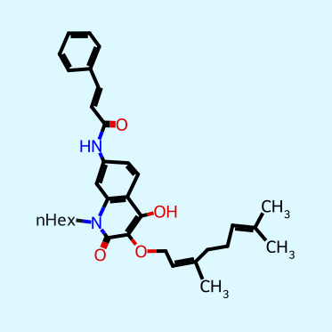 CCCCCCn1c(=O)c(OCC=C(C)CCC=C(C)C)c(O)c2ccc(NC(=O)C=Cc3ccccc3)cc21